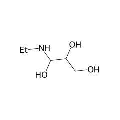 CCNC(O)C(O)CO